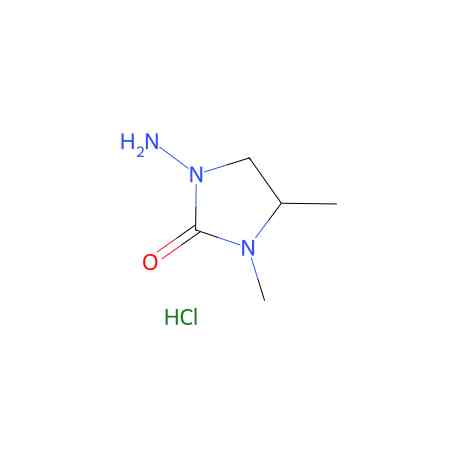 CC1CN(N)C(=O)N1C.Cl